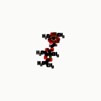 C=C(C)C(=O)OC(CC)C(C)(F)C(=O)OCCS(=O)(=O)C(S(C)(=O)=O)S(C)(=O)=O